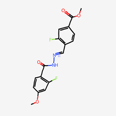 COC(=O)c1ccc(/C=N/NC(=O)c2ccc(OC)cc2F)c(F)c1